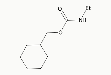 CCNC(=O)OCC1CCCCC1